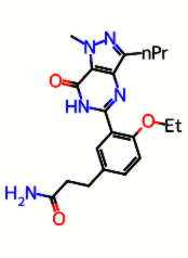 CCCc1nn(C)c2c(=O)[nH]c(-c3cc(CCC(N)=O)ccc3OCC)nc12